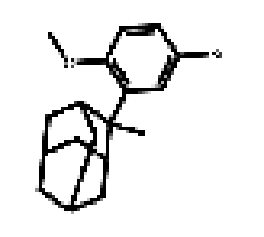 COc1ccc(Br)cc1C1(C)C2CC3CC(C2)CC1C3